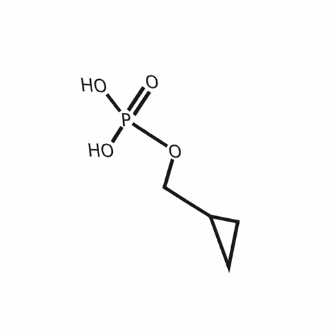 O=P(O)(O)OCC1CC1